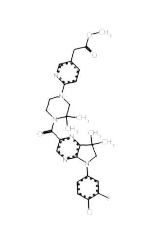 COC(=O)Cc1ccc(N2CCN(C(=O)c3cnc4c(n3)C(C)(C)CN4c3ccc(Cl)c(F)c3)C(C)(C)C2)nc1